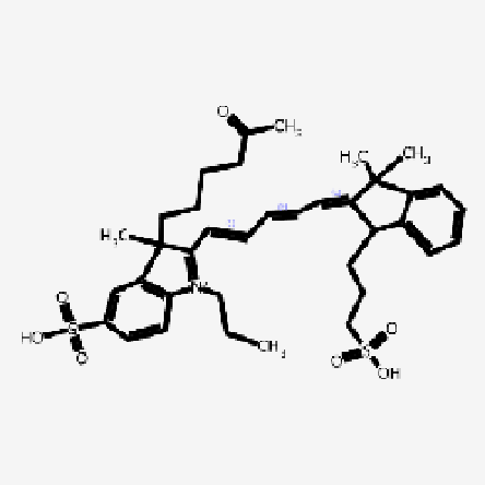 CCC[N+]1=C(/C=C/C=C/C=C2\C(CCCS(=O)(=O)O)c3ccccc3C2(C)C)C(C)(CCCCC(C)=O)c2cc(S(=O)(=O)O)ccc21